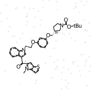 Cn1c(C(=O)c2cn(CCOc3cccc(OC[C@@H]4CCN(C(=O)OC(C)(C)C)C4)c3)c3ccccc23)cc2sccc21